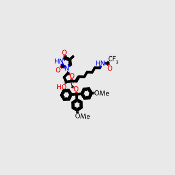 COc1ccc(C(OC[C@@]2(C=CCCCCCNC(=O)C(F)(F)F)O[C@@H](n3cc(C)c(=O)[nH]c3=O)C[C@@H]2O)(c2ccccc2)c2ccc(OC)cc2)cc1